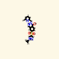 Cc1cccc(Cn2ncc3cc(S(=O)(=O)c4cnn(C5CC5)c4)ccc3c2=O)n1